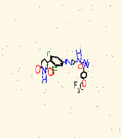 O=C1CCC(c2c(F)cc(N3CC(Nc4nnc(-c5ccc(OC(F)(F)F)cc5)o4)C3)cc2F)C(=O)N1